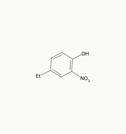 CCc1ccc(O)c([N+](=O)[O-])c1